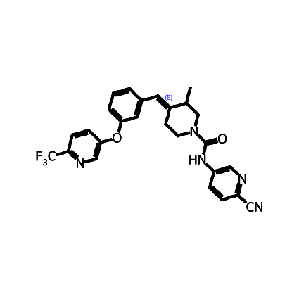 CC1CN(C(=O)Nc2ccc(C#N)nc2)CC/C1=C\c1cccc(Oc2ccc(C(F)(F)F)nc2)c1